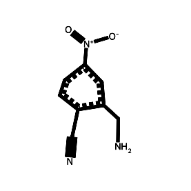 N#Cc1ccc([N+](=O)[O-])cc1CN